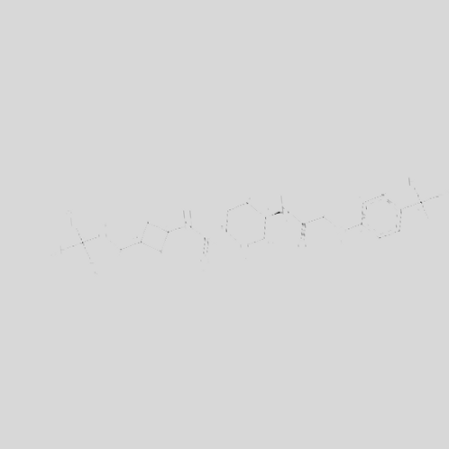 O=C(COc1ccc(C(F)(F)F)cc1)N[C@@H]1CC[C@@H](C(=O)NC2CC(COC(F)(F)F)C2)OC1